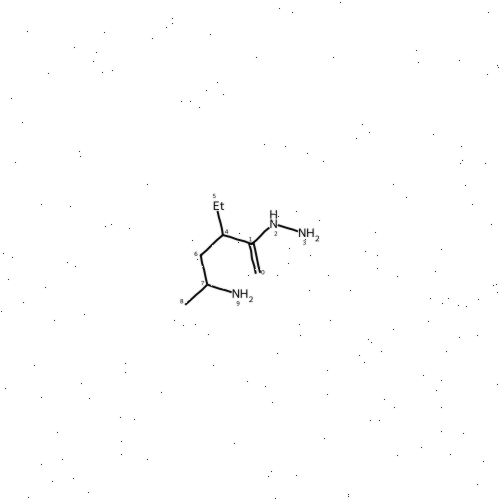 C=C(NN)C(CC)CC(C)N